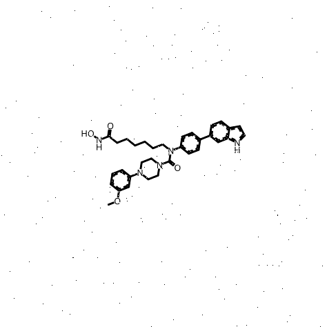 COc1cccc(N2CCN(C(=O)N(CCCCCCC(=O)NO)c3ccc(-c4ccc5cc[nH]c5c4)cc3)CC2)c1